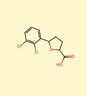 O=C(O)C1CCC(c2cccc(Cl)c2Cl)O1